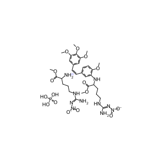 COC(=O)C(CCCNC(N)=N[N+](=O)[O-])Nc1cc(/C=C\c2cc(OC)c(OC)c(OC)c2)ccc1OC.COC(=O)C(N)CCCNC(N)=N[N+](=O)[O-].O=P(O)(O)O